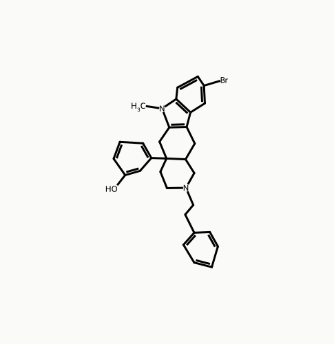 Cn1c2c(c3cc(Br)ccc31)CC1CN(CCc3ccccc3)CCC1(c1cccc(O)c1)C2